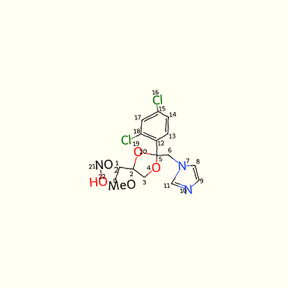 COCC1COC(Cn2ccnc2)(c2ccc(Cl)cc2Cl)O1.O=[N+]([O-])O